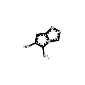 Nc1c(O)cc2oncn12